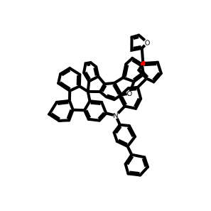 c1ccc(-c2ccc(N(c3ccc(-c4cccc(-c5ccco5)c4)cc3)c3ccc4c(c3)C3(c5ccccc5-c5ccccc5-4)c4ccccc4-c4c3ccc3oc5ccccc5c43)cc2)cc1